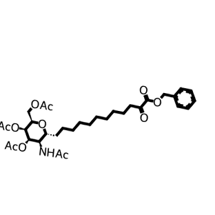 CC(=O)N[C@H]1[C@@H](OC(C)=O)[C@@H](OC(C)=O)[C@@H](COC(C)=O)O[C@@H]1CCCCCCCCCCC(=O)C(=O)OCc1ccccc1